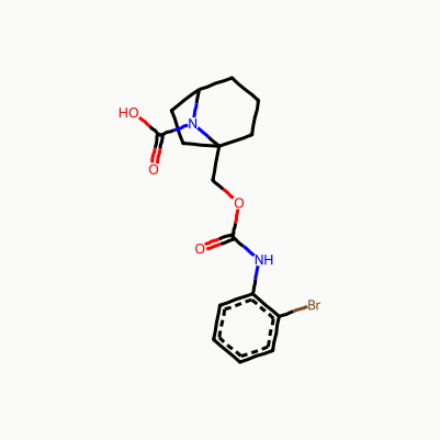 O=C(Nc1ccccc1Br)OCC12CCCC(CC1)N2C(=O)O